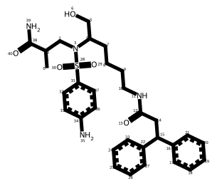 CC(CN(C(CO)CCCCNC(=O)[CH]C(c1ccccc1)c1ccccc1)S(=O)(=O)c1ccc(N)cc1)C(N)=O